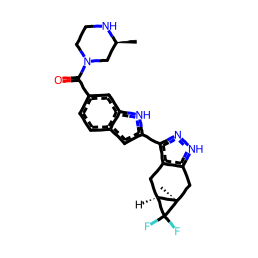 C[C@H]1CN(C(=O)c2ccc3cc(-c4n[nH]c5c4C[C@@H]4C(F)(F)[C@]4(C)C5)[nH]c3c2)CCN1